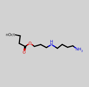 CCCCCCCCCCC(=O)OCCCNCCCCN